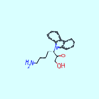 NCCCC[C@@H](C(=O)CO)n1c2ccccc2c2ccccc21